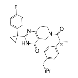 CC(C)Cc1ccc([C@@H](C)C(=O)N2CCc3nc(C4(c5ccc(F)cc5)CC4)[nH]c(=O)c3C2)cc1